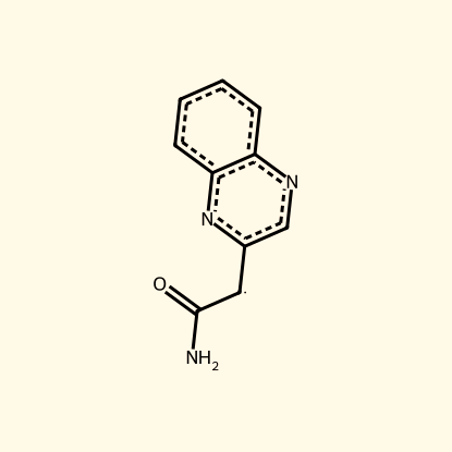 NC(=O)[CH]c1cnc2ccccc2n1